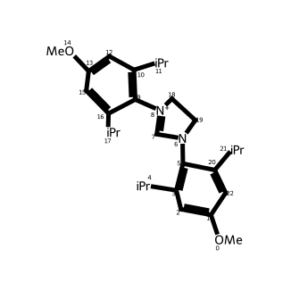 COc1cc(C(C)C)c(N2C=[N+](c3c(C(C)C)cc(OC)cc3C(C)C)CC2)c(C(C)C)c1